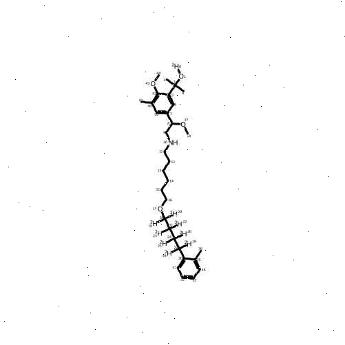 [2H]OC(C)(C)c1cc(C(CNCCCCCCOC([2H])([2H])C([2H])([2H])C([2H])([2H])C([2H])([2H])c2ccccc2C)OC)cc(C)c1OC